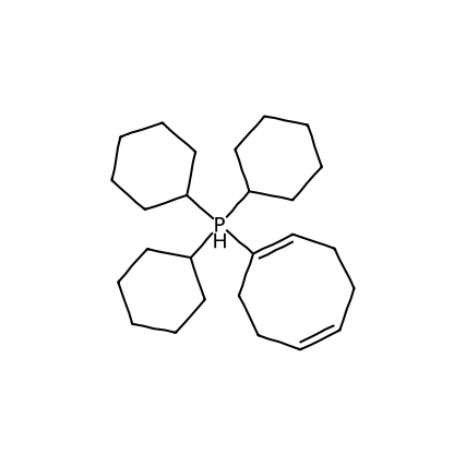 C1=CCCC([PH](C2CCCCC2)(C2CCCCC2)C2CCCCC2)=CCC1